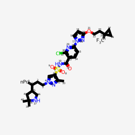 CCCC(CCn1cc(S(=O)(=O)NC(=O)c2ccc(-n3ccc(OCCC4(C(F)(F)F)CC4)n3)nc2Cl)c(C)n1)C1CNC(C)(C)C1